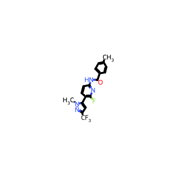 Cc1ccc(C(=O)Nc2ccc(-c3cc(C(F)(F)F)nn3C)c(F)n2)cc1